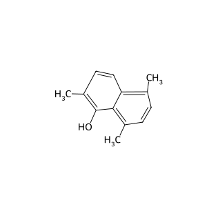 Cc1ccc2c(C)ccc(C)c2c1O